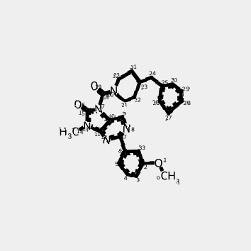 COc1cccc(-c2ncc3c(n2)n(C)c(=O)n3C(=O)N2CCC(Cc3ccccc3)CC2)c1